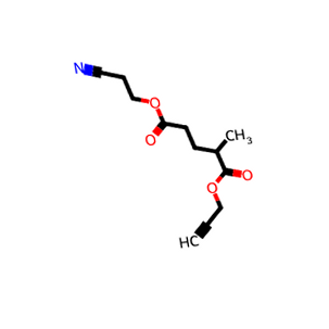 C#CCOC(=O)C(C)CCC(=O)OCCC#N